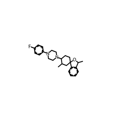 CC1OC2(CCC(N3CCN(c4ccc(F)cc4)CC3)C(C)C2)c2ccccc21